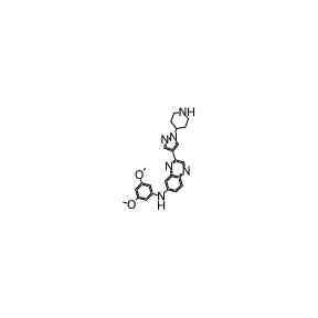 COc1cc(Nc2ccc3ncc(-c4cnn(C5CCNCC5)c4)nc3c2)cc(OC)c1